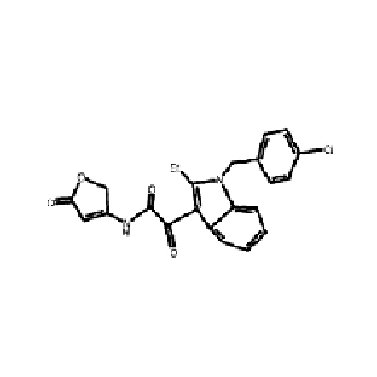 CCc1c(C(=O)C(=O)NC2=CC(=O)OC2)c2ccccc2n1Cc1ccc(Cl)cc1